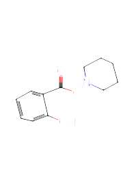 O=C(ON1CCCCC1)c1ccccc1O